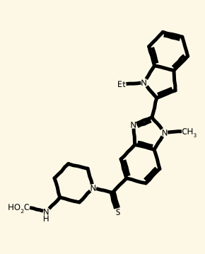 CCn1c(-c2nc3cc(C(=S)N4CCCC(NC(=O)O)C4)ccc3n2C)cc2ccccc21